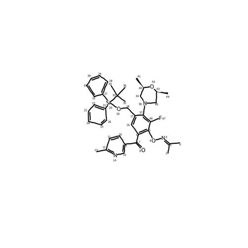 CC(C)=NOc1c(C(=O)c2ccc(C)nc2)cc(CO[Si](c2ccccc2)(c2ccccc2)C(C)(C)C)c(N2C[C@@H](C)O[C@@H](C)C2)c1F